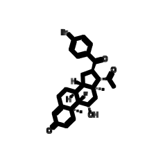 CC(=O)[C@H]1[C@H](C(=O)c2ccc(Br)cc2)C[C@H]2[C@@H]3CCC4=CC(=O)C=C[C@]4(C)[C@@]3(F)[C@@H](O)C[C@@]21C